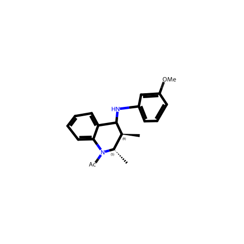 COc1cccc(NC2c3ccccc3N(C(C)=O)[C@@H](C)[C@@H]2C)c1